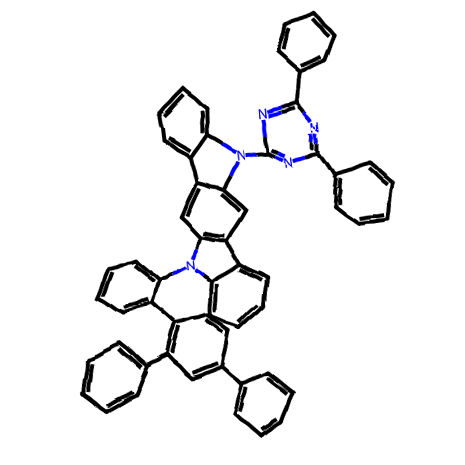 c1ccc(-c2ccc(-c3ccccc3-n3c4ccccc4c4cc5c(cc43)c3ccccc3n5-c3nc(-c4ccccc4)nc(-c4ccccc4)n3)c(-c3ccccc3)c2)cc1